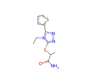 CCn1c(SC(C)C(N)=O)nnc1-c1cccs1